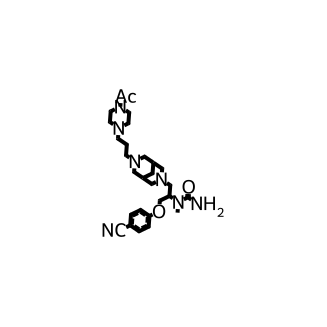 CC(=O)N1CCN(CCCN2CC3CC(C2)CN(CC(COc2ccc(C#N)cc2)N(C)C(N)=O)C3)CC1